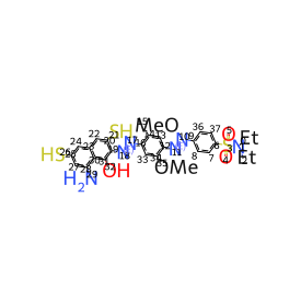 CCN(CC)S(=O)(=O)c1ccc(/N=N/c2cc(OC)c(/N=N/c3c(S)cc4cc(S)cc(N)c4c3O)cc2OC)cc1